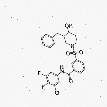 O=C(Nc1cc(F)c(F)c(Cl)c1)c1cccc(S(=O)(=O)N2CCC(O)C(Cc3ccccc3)C2)c1